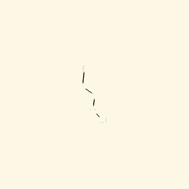 CCOSSCC